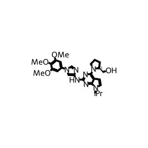 COc1cc(-n2cnc(Nc3nc(N4CCC[C@H]4CO)c4ccn(C(C)C)c4n3)c2)cc(OC)c1OC